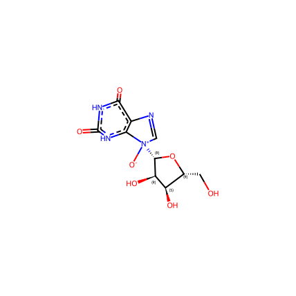 O=c1[nH]c2c(c(=O)[nH]1)N=C[N+]2([O-])[C@@H]1O[C@H](CO)[C@@H](O)[C@H]1O